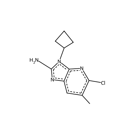 Cc1cc2nc(N)n(C3CCC3)c2nc1Cl